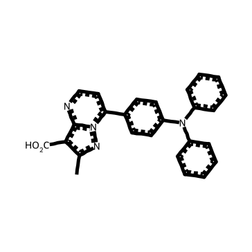 Cc1nn2c(-c3ccc(N(c4ccccc4)c4ccccc4)cc3)ccnc2c1C(=O)O